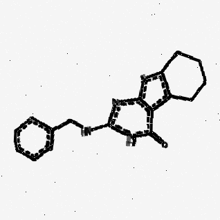 O=c1[nH]c(NCc2ccccc2)nc2sc3c(c12)CCCC3